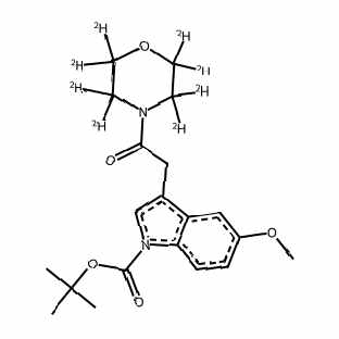 [2H]C1([2H])OC([2H])([2H])C([2H])([2H])N(C(=O)Cc2cn(C(=O)OC(C)(C)C)c3ccc(OC)cc23)C1([2H])[2H]